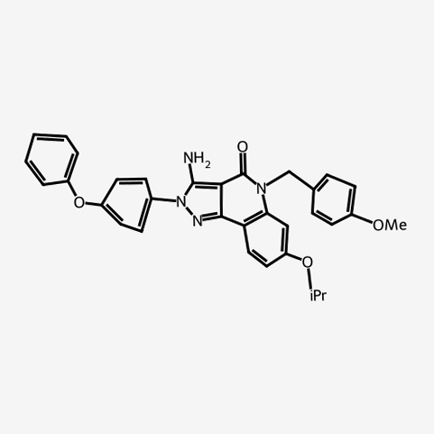 COc1ccc(Cn2c(=O)c3c(N)n(-c4ccc(Oc5ccccc5)cc4)nc3c3ccc(OC(C)C)cc32)cc1